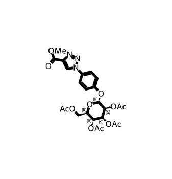 COC(=O)c1cn(-c2ccc(O[C@H]3O[C@H](COC(C)=O)[C@@H](OC(C)=O)[C@H](OC(C)=O)[C@@H]3OC(C)=O)cc2)nn1